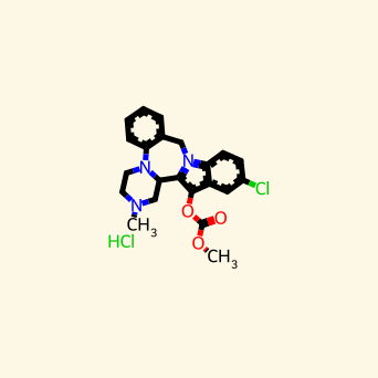 COC(=O)Oc1c2n(c3ccc(Cl)cc13)Cc1ccccc1N1CCN(C)CC21.Cl